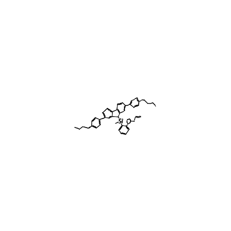 C=CCOc1ccccc1[Si](C)(C)C1c2cc(-c3ccc(CCCC)cc3)ccc2-c2ccc(-c3ccc(CCCC)cc3)cc21